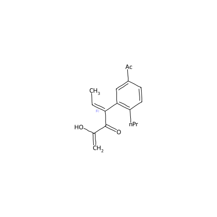 C=C(O)C(=O)/C(=C/C)c1cc(C(C)=O)ccc1CCC